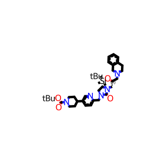 CC(C)(C)OC(=O)N1CCC(c2ccc(CN3CCN(C[C@@H](CN4CCc5ccccc5C4)O[Si](C)(C)C(C)(C)C)C3=O)nc2)CC1